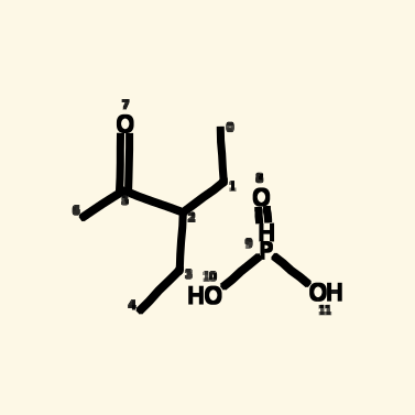 CCC(CC)C(C)=O.O=[PH](O)O